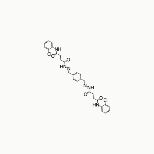 O=C(CCC(=O)Nc1ccccc1Cl)NN=Cc1ccc(C=NNC(=O)CCC(=O)Nc2ccccc2Cl)cc1